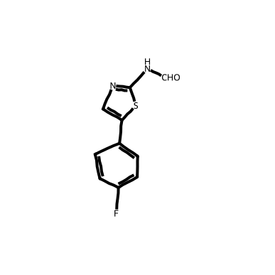 O=CNc1ncc(-c2ccc(F)cc2)s1